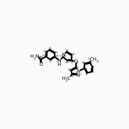 Cc1cccc(-n2nc(C)cc2Oc2ccnc(Nc3cccc(C(N)=O)c3)c2)c1